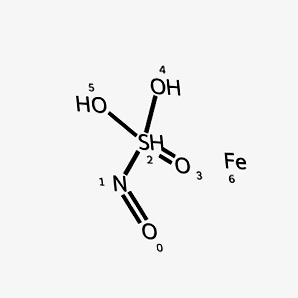 O=N[SH](=O)(O)O.[Fe]